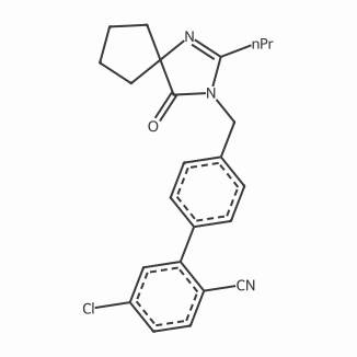 CCCC1=NC2(CCCC2)C(=O)N1Cc1ccc(-c2cc(Cl)ccc2C#N)cc1